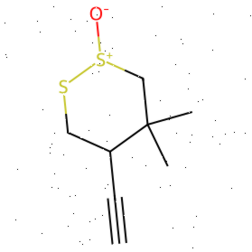 C#CC1CS[S+]([O-])CC1(C)C